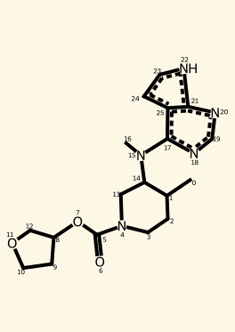 CC1CCN(C(=O)OC2CCOC2)CC1N(C)c1ncnc2[nH]ccc12